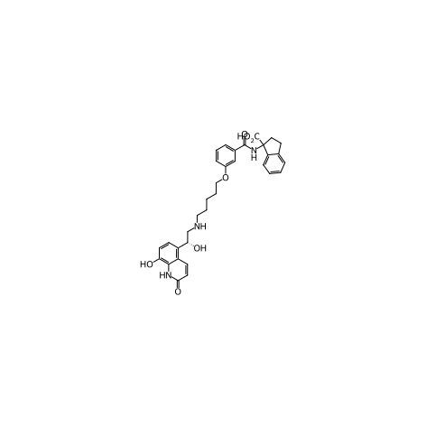 O=C(NC1(C(=O)O)CCc2ccccc21)c1cccc(OCCCCCNC[C@H](O)c2ccc(O)c3[nH]c(=O)ccc23)c1